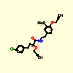 C#CCOc1ccc(CCNC(=O)[C@H](CCc2ccc(Cl)cc2)OCC#C)cc1OC